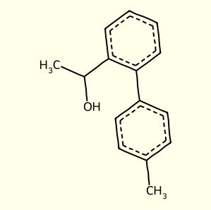 Cc1ccc(-c2ccccc2C(C)O)cc1